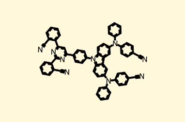 N#Cc1ccc(N(c2ccccc2)c2ccc3c(c2)c2cc(N(c4ccccc4)c4ccc(C#N)cc4)ccc2n3-c2ccc(-c3cc(-c4ccccc4C#N)nc(-c4ccccc4C#N)n3)cc2)cc1